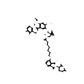 C/C=N/c1cc(OC)c(OCC2(CN(C)C(=O)CCCCCCNc3cccc4c3C(=O)N(C3CCC(=O)NC3=O)C4=O)CC2)cc1/C(=N\C)N[C@H](C)c1cccc(C(F)(F)F)c1F